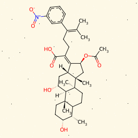 CC(=O)O[C@H]1C[C@@]2(C)[C@H](C[C@@H](O)[C@@H]3[C@@]4(C)CC[C@@H](O)[C@@H](C)C4CC[C@@]32C)C1=C(CCC(=C(C)C)c1cccc([N+](=O)[O-])c1)C(=O)O